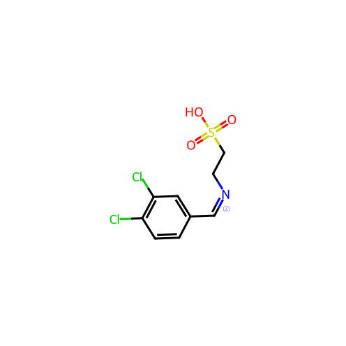 O=S(=O)(O)CC/N=C\c1ccc(Cl)c(Cl)c1